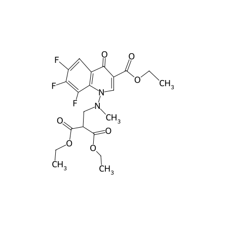 CCOC(=O)c1cn(N(C)CC(C(=O)OCC)C(=O)OCC)c2c(F)c(F)c(F)cc2c1=O